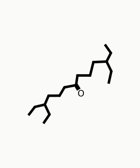 CCC(CC)CCCC(=O)CCCC(CC)CC